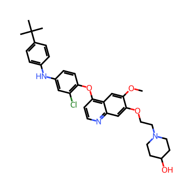 COc1cc2c(Oc3ccc(Nc4ccc(C(C)(C)C)cc4)cc3Cl)ccnc2cc1OCCN1CCC(O)CC1